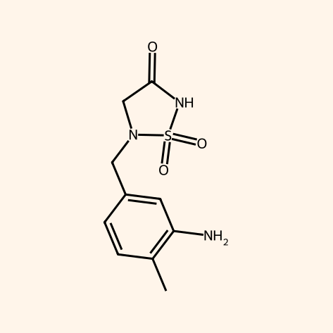 Cc1ccc(CN2CC(=O)NS2(=O)=O)cc1N